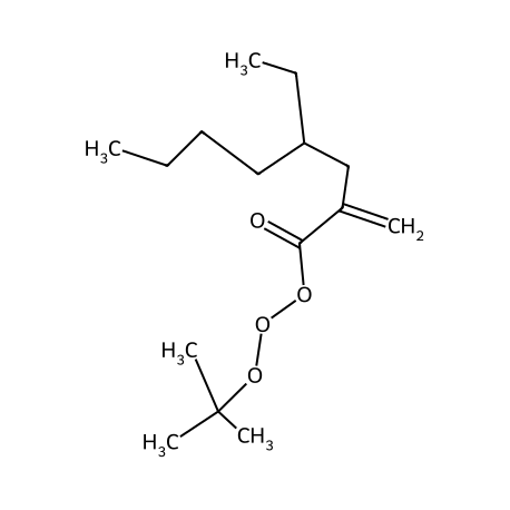 C=C(CC(CC)CCCC)C(=O)OOOC(C)(C)C